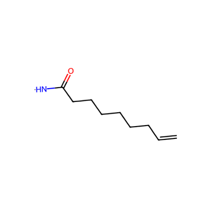 C=CCCCCCCC([NH])=O